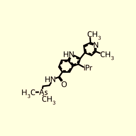 Cc1cc(-c2[nH]c3ccc(C(=O)NCC[As](C)C)cc3c2C(C)C)cc(C)n1